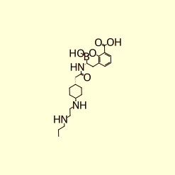 CCCNCCN[C@H]1CC[C@H](CC(=O)N[C@H]2Cc3cccc(C(=O)O)c3OB2O)CC1